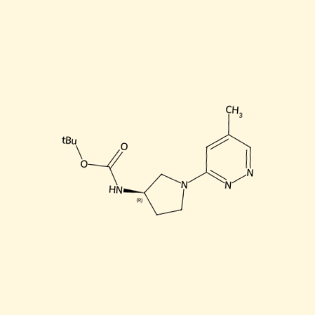 Cc1cnnc(N2CC[C@@H](NC(=O)OC(C)(C)C)C2)c1